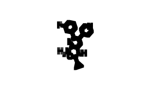 Nc1nc(-c2cccc(F)c2)c(-c2ccncc2)cc1NC(=O)C1CC1